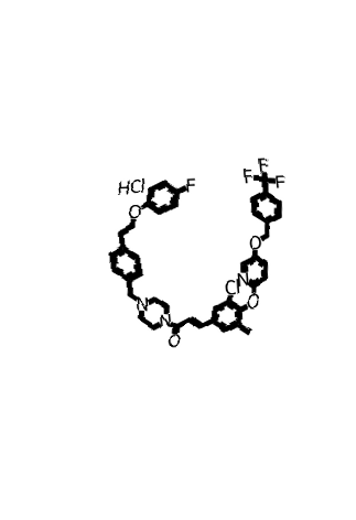 Cc1cc(C=CC(=O)N2CCN(Cc3ccc(CCOc4ccc(F)cc4)cc3)CC2)cc(Cl)c1Oc1ccc(OCc2ccc(C(F)(F)F)cc2)cn1.Cl